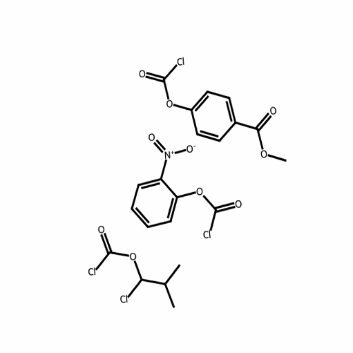 CC(C)C(Cl)OC(=O)Cl.COC(=O)c1ccc(OC(=O)Cl)cc1.O=C(Cl)Oc1ccccc1[N+](=O)[O-]